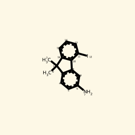 CC1(C)c2ccc(N)cc2-c2c(I)cccc21